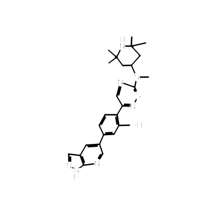 CN(c1ncc(-c2ccc(-c3cnc4[nH]ncc4c3)cc2O)nn1)C1CC(C)(C)NC(C)(C)C1